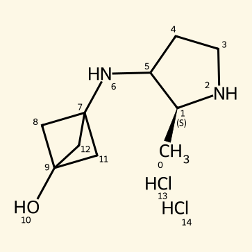 C[C@@H]1NCCC1NC12CC(O)(C1)C2.Cl.Cl